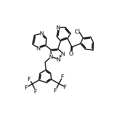 O=C(c1ccccc1Cl)c1ccncc1-c1nnn(Cc2cc(C(F)(F)F)cc(C(F)(F)F)c2)c1-c1cnccn1